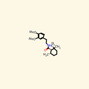 COc1ccc(CCNC(=O)[C@@H]2[C@@H](C)CCCC2(C)C)cc1OC